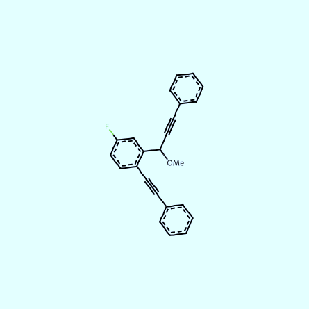 COC(C#Cc1ccccc1)c1cc(F)ccc1C#Cc1ccccc1